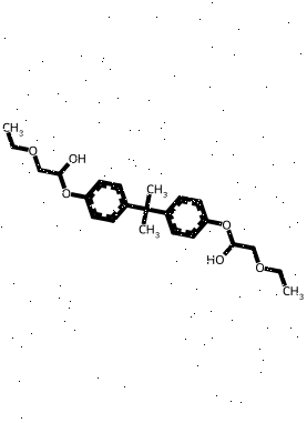 CCOCC(O)Oc1ccc(C(C)(C)c2ccc(OC(O)COCC)cc2)cc1